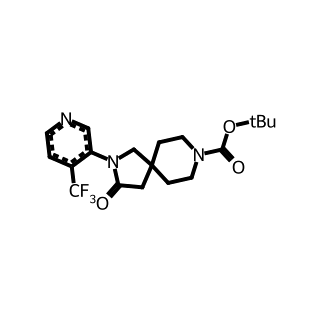 CC(C)(C)OC(=O)N1CCC2(CC1)CC(=O)N(c1cnccc1C(F)(F)F)C2